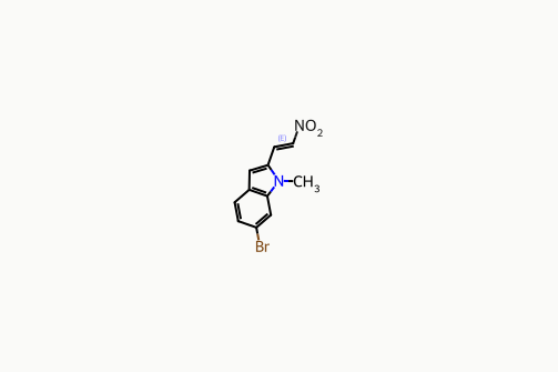 Cn1c(/C=C/[N+](=O)[O-])cc2ccc(Br)cc21